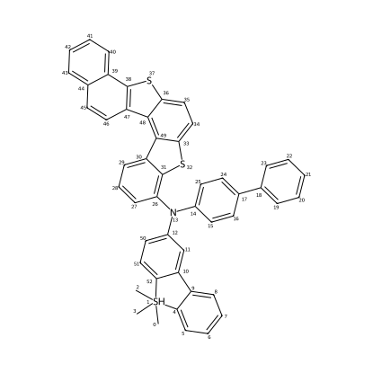 C[SH]1(C)(C)c2ccccc2-c2cc(N(c3ccc(-c4ccccc4)cc3)c3cccc4c3sc3ccc5sc6c7ccccc7ccc6c5c34)ccc21